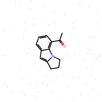 CC(=O)c1cccc2cc3n(c12)CCC3